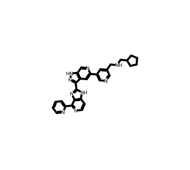 c1ccc(-c2nccc3[nH]c(-c4n[nH]c5cnc(-c6cncc(CNCC7CCCC7)c6)cc45)nc23)nc1